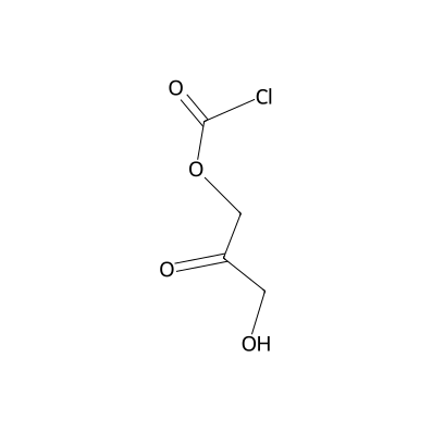 O=C(CO)COC(=O)Cl